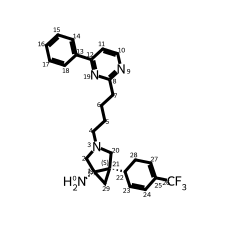 N[C@]12CN(CCCCc3nccc(-c4ccccc4)n3)C[C@@]1(C1C=CC(C(F)(F)F)=CC1)C2